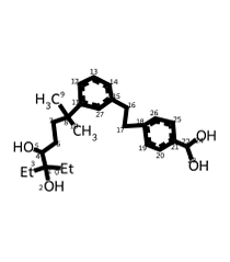 CCC(O)(CC)C(O)CCC(C)(C)c1cccc(CCc2ccc(C(O)O)cc2)c1